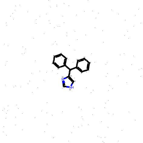 c1ccc(C(c2ccccc2)c2c[nH]cn2)cc1